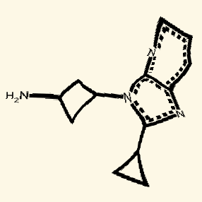 NC1CC(n2c(C3CC3)nc3cccnc32)C1